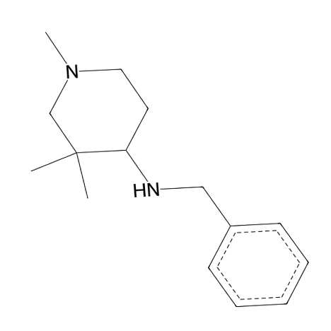 CN1CCC(NCc2ccccc2)C(C)(C)C1